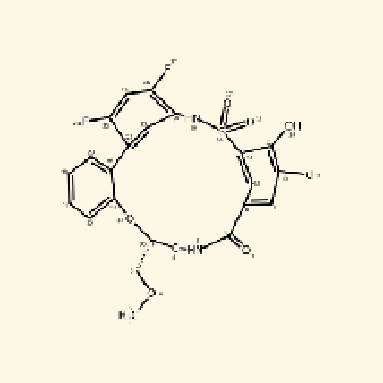 COC[C@H]1CNC(=O)c2cc(Cl)c(O)c(c2)S(=O)(=O)Nc2cc(c(F)cc2F)-c2ccccc2O1